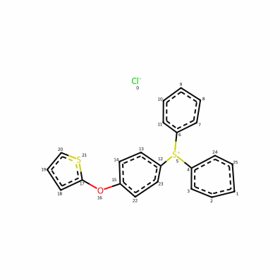 [Cl-].c1ccc([S+](c2ccccc2)c2ccc(Oc3cccs3)cc2)cc1